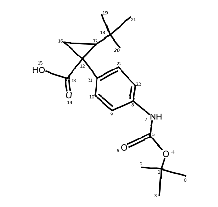 CC(C)(C)OC(=O)Nc1ccc(C2(C(=O)O)CC2C(C)(C)C)cc1